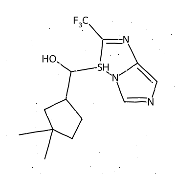 CC1(C)CCC(C(O)[SH]2C(C(F)(F)F)=Nc3cncn32)C1